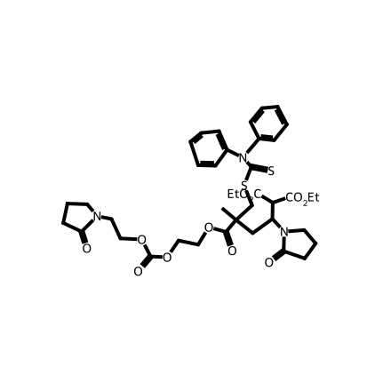 CCOC(=O)C(C(=O)OCC)C(CC(C)(CSC(=S)N(c1ccccc1)c1ccccc1)C(=O)OCCOC(=O)OCCN1CCCC1=O)N1CCCC1=O